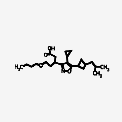 CCCCOCCC(CC(=O)O)c1noc(C2CC(CC(C)C)C2)c1C1CC1